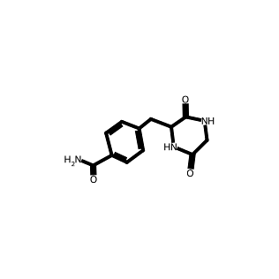 NC(=O)c1ccc(CC2NC(=O)CNC2=O)cc1